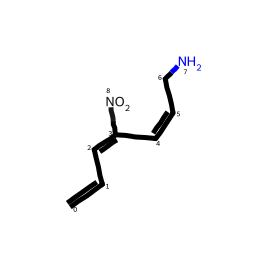 C=C/C=C(\C=C/CN)[N+](=O)[O-]